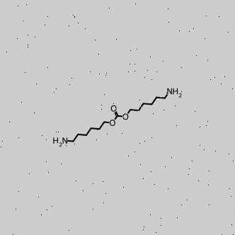 NCCCCCCOC(=O)OCCCCCCN